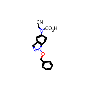 N#CCN(C(=O)O)c1ccc2c(cnn2OCc2ccccc2)c1